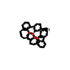 CC1=CC=CCC2c3cccc(C#N)c3N(c3cc(C#N)ccc3-c3ccccc3-c3cccc(-n4c5ccccc5c5ccccc54)c3)C12